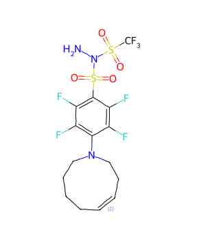 NN(S(=O)(=O)c1c(F)c(F)c(N2CC/C=C\CCCC2)c(F)c1F)S(=O)(=O)C(F)(F)F